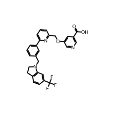 O=C(O)c1cncc(OCc2cccc(-c3cccc(CN4CCc5ccc(C(F)(F)F)cc54)c3)n2)c1